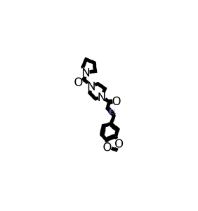 O=C(/C=C/c1ccc2c(c1)OCO2)N1CCN(C(=O)N2CCCC2)CC1